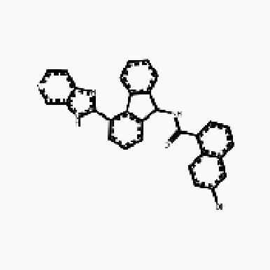 O=C(NC1c2ccccc2-c2c(-c3nc4ccncc4[nH]3)cccc21)c1cccc2cc(O)ccc12